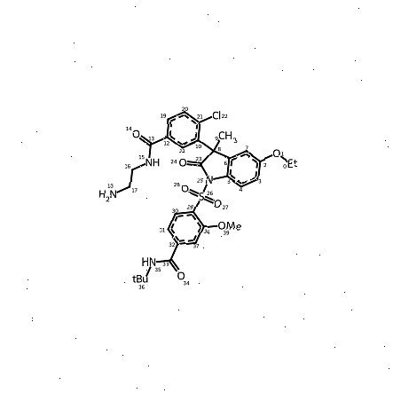 CCOc1ccc2c(c1)C(C)(c1cc(C(=O)NCCN)ccc1Cl)C(=O)N2S(=O)(=O)c1ccc(C(=O)NC(C)(C)C)cc1OC